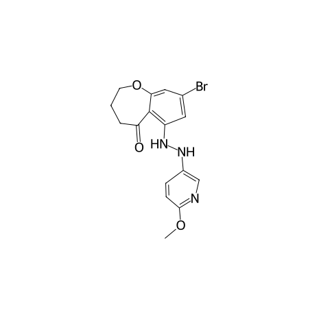 COc1ccc(NNc2cc(Br)cc3c2C(=O)CCCO3)cn1